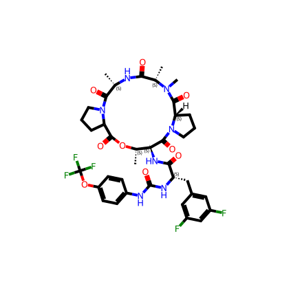 C[C@@H]1NC(=O)[C@H](C)N(C)C(=O)[C@@H]2CCCN2C(=O)[C@@H](NC(=O)[C@H](Cc2cc(F)cc(F)c2)NC(=O)Nc2ccc(OC(F)(F)F)cc2)[C@H](C)OC(=O)C2CCCN2C1=O